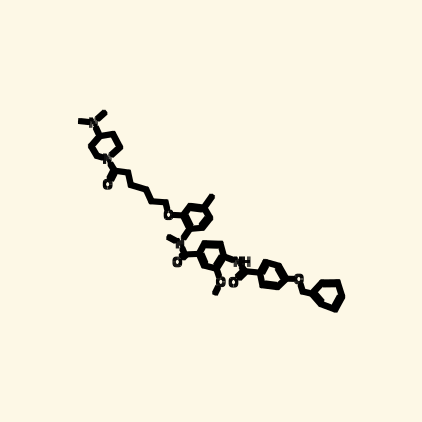 COc1cc(C(=O)N(C)c2ccc(C)cc2OCCCCCC(=O)N2CCC(N(C)C)CC2)ccc1NC(=O)c1ccc(OCc2ccccc2)cc1